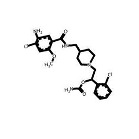 COc1cc(Cl)c(N)cc1C(=O)NCC1CCN(CC(OC(N)=O)c2ccccc2Cl)CC1